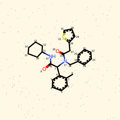 Cc1ccccc1C(C(=O)NC1CCCCC1)N(Cc1ccccc1)C(=O)Cc1cccs1